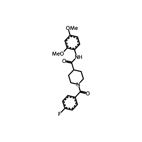 COc1ccc(NC(=O)C2CCN(C(=O)c3ccc(F)cc3)CC2)c(OC)c1